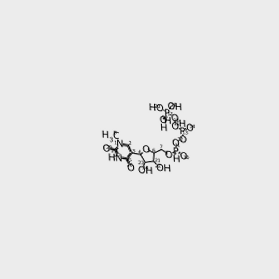 Cn1cc(C2OC(CO[PH](=O)OO[PH](=O)OO[PH](O)(O)O)C(O)C2O)c(=O)[nH]c1=O